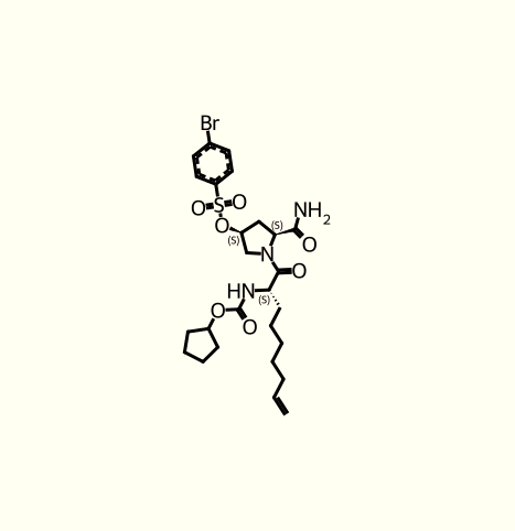 C=CCCCCC[C@H](NC(=O)OC1CCCC1)C(=O)N1C[C@@H](OS(=O)(=O)c2ccc(Br)cc2)C[C@H]1C(N)=O